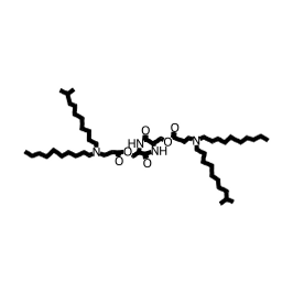 CCCCCCCCCCN(CCCCCCCCC(C)C)CCC(=O)OCC1NC(=O)C(COC(=O)CCN(CCCCCCCCCC)CCCCCCCCC(C)C)NC1=O